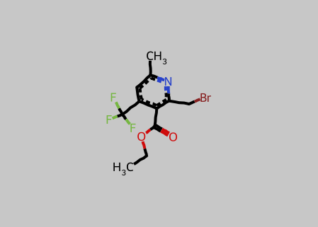 CCOC(=O)c1c(C(F)(F)F)cc(C)nc1CBr